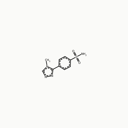 Cn1[c]nnc1-c1ccc(S(N)(=O)=O)cc1